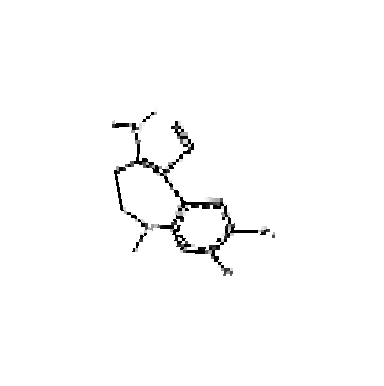 C=CC1=C(N(C)C)CCN(C)c2cc(CC)c(N)cc21